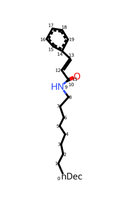 CCCCCCCCCCCCCCCCCCNC(=O)C=Cc1ccccc1